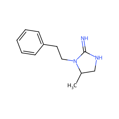 CC1CNC(=N)N1CCc1ccccc1